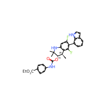 CCOC(=O)c1ccc(NC(=O)O[C@H]2[C@H](C)c3c(cc(F)c(-c4cccc5cc[nH]c45)c3F)NC2(C)C)cc1